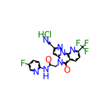 Cl.N#Cc1cc2n(CC(=O)Nc3ccc(F)cn3)c(=O)c3ccc(C(F)(F)F)nc3n2n1